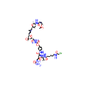 CC(=O)O[C@@H](C)/C=C\C(=O)N[C@@H]1C[C@H](C)[C@H](C/C=C(C)/C=C/[C@@H]2C[C@]3(CO3)C[C@@H](CC(=O)NNC(=O)OCc3ccc(NC(=O)[C@H](CCCNC(N)=O)NC(=O)[C@@H](NC(=O)CCCCCNC(=O)CBr)C(C)C)cc3)O2)O[C@@H]1C